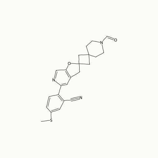 CSc1ccc(-c2cc3c(cn2)OC2(C3)CC3(CCN(C=O)CC3)C2)c(C#N)c1